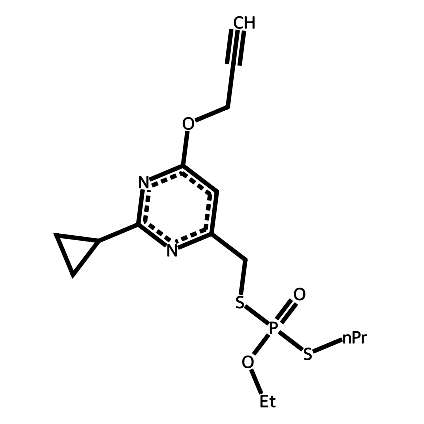 C#CCOc1cc(CSP(=O)(OCC)SCCC)nc(C2CC2)n1